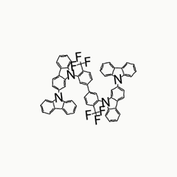 FC(F)(F)c1ccc(-c2ccc(C(F)(F)F)c(-n3c4ccccc4c4ccc(-n5c6ccccc6c6ccccc65)cc43)c2)cc1-n1c2ccccc2c2ccc(-n3c4ccccc4c4ccccc43)cc21